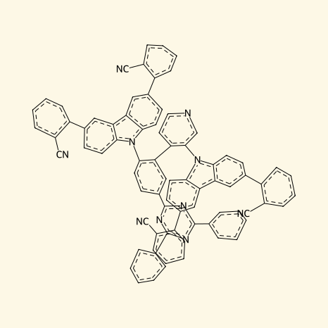 N#Cc1ccccc1-c1ccc2c(c1)c1cc(-c3ccccc3C#N)ccc1n2-c1ccc(-c2nc(-c3ccccc3)nc(-c3ccccc3)n2)cc1-c1ccncc1-n1c2ccc(-c3ccccc3C#N)cc2c2cc(-c3ccccc3C#N)ccc21